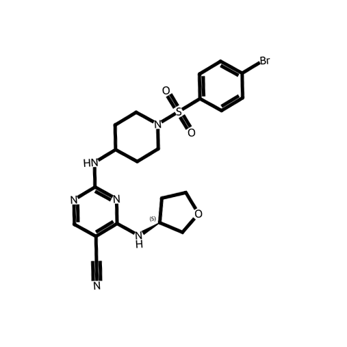 N#Cc1cnc(NC2CCN(S(=O)(=O)c3ccc(Br)cc3)CC2)nc1N[C@H]1CCOC1